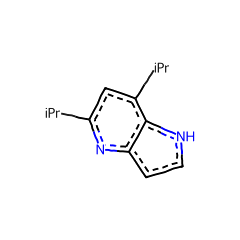 CC(C)c1cc(C(C)C)c2[nH]ccc2n1